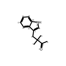 CC(=O)C(C)(C)Cc1c[nH]c2ccccc12